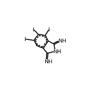 N=C1NC(=N)c2c1cc(I)c(I)c2I